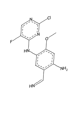 COc1cc(N)c(C=N)cc1Nc1nc(Cl)ncc1F